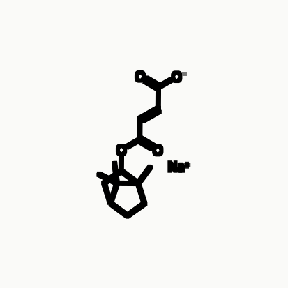 CC1(C)C2CCC1(C)C(OC(=O)C=CC(=O)[O-])C2.[Na+]